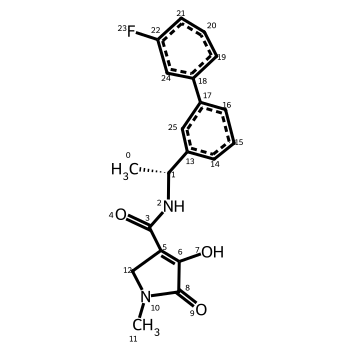 C[C@@H](NC(=O)C1=C(O)C(=O)N(C)C1)c1cccc(-c2cccc(F)c2)c1